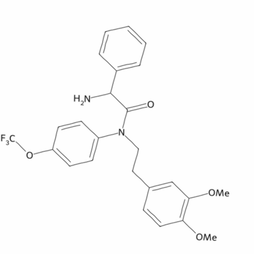 COc1ccc(CCN(C(=O)C(N)c2ccccc2)c2ccc(OC(F)(F)F)cc2)cc1OC